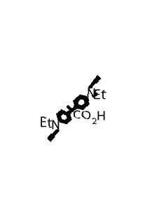 C#CCN(CC)c1ccc(C(C)(C(=O)O)c2ccc(N(CC)CC#C)cc2)cc1